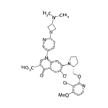 COc1ccnc(OC[C@H]2CCCN2c2cc3c(cc2Cl)c(=O)c(C(=O)O)cn3-c2ccc(N3CC(N(C)C)C3)nc2)c1Cl